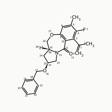 C=C(C)c1c(F)c(C)cc2c1C(=O)N1C[C@@H](OCc3ccccc3)C[C@@H]1CO2